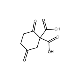 O=C1CCC(=O)C(C(=O)O)(C(=O)O)C1